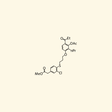 CCCc1c(OCCCSc2ccc(CC(=O)OC)cc2Cl)ccc(C(=O)CC)c1OC(C)=O